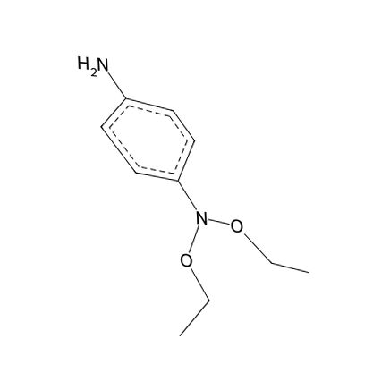 CCON(OCC)c1ccc(N)cc1